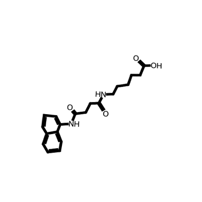 O=C(O)CCCCCNC(=O)CCC(=O)Nc1cccc2ccccc12